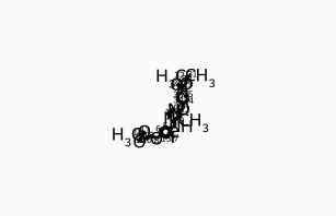 Cc1c(Nc2ccc(OCCS(C)(=O)=O)cc2F)ncnc1OC1CCN(C(=O)OC(C)C)CC1